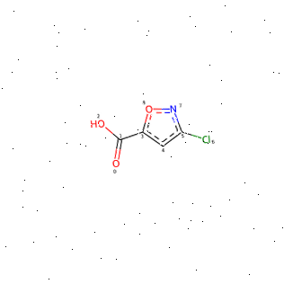 O=C(O)c1cc(Cl)no1